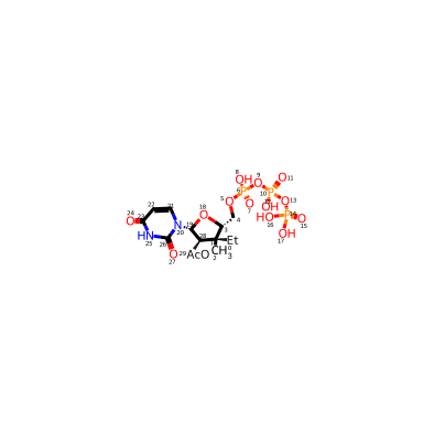 CC[C@]1(C)[C@@H](COP(=O)(O)OP(=O)(O)OP(=O)(O)O)O[C@@H](n2ccc(=O)[nH]c2=O)[C@@H]1OC(C)=O